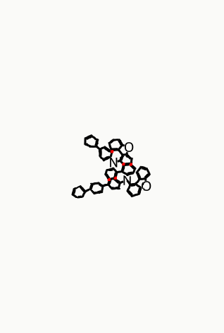 c1ccc(-c2ccc(-c3ccc(N(c4ccccc4-c4ccccc4N(c4ccc(-c5ccccc5)cc4)c4cccc5oc6ccccc6c45)c4cccc5oc6ccccc6c45)cc3)cc2)cc1